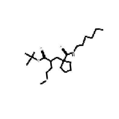 CCCCCCNC(=O)C1(CC(CCOC)C(=O)OC(C)(C)C)CCCC1